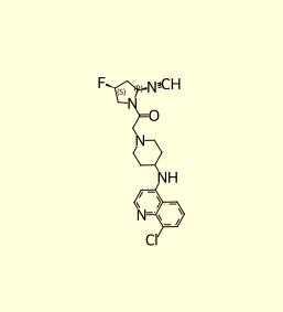 C#[N+][C@@H]1C[C@H](F)CN1C(=O)CN1CCC(Nc2ccnc3c(Cl)cccc23)CC1